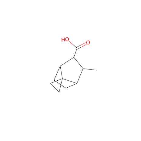 CC1C(C(=O)O)C2CCC1C21CC1